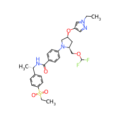 CCn1cc(O[C@H]2C[C@@H](COC(F)F)N(c3ccc(C(=O)N[C@@H](C)c4ccc(S(=O)(=O)CC)cc4)cc3)C2)cn1